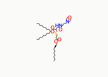 CCCCCCCC#CCOC(=O)CCSCC(CC(=O)NCCCN1CCOCC1)C(=O)OC(CCCCCCCC)CCCCCCCC